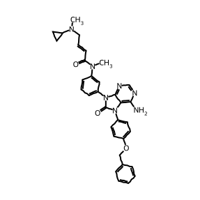 CN(C(=O)C=CCN(C)C1CC1)c1cccc(-n2c(=O)n(-c3ccc(OCc4ccccc4)cc3)c3c(N)ncnc32)c1